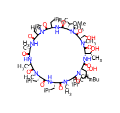 CCCC[C@@H](C)[C@@H](O)[C@H]1C(=O)N[C@@H]([C@@H](C)O)C(=O)N(C)[C@H](CO)C(=O)N(C)[C@@H](C(C)OC)C(=O)NC(CC(C)C)C(=O)N(C)C(CC(C)C)C(=O)N[C@@H](C)C(=O)N[C@H](C)C(=O)N(C)[C@@H](CC(C)C)C(=O)N[C@@H](CC(C)C)C(=O)N(C)[C@@H](C(C)C)C(=O)N1C